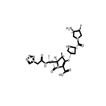 C[C@@H](NC(=O)Cn1cnnn1)[C@H]1C(=O)N2C(C(=O)O)=C(S[C@@H]3CN[C@H](C(=O)N4C[C@@H](N)[C@@H](F)C4)C3)[C@H](C)[C@H]12